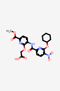 COC(=O)c1ccc(NC(=O)c2ccc([N+](=O)[O-])c(OC3CCCCC3)n2)c(OCC(=O)O)n1